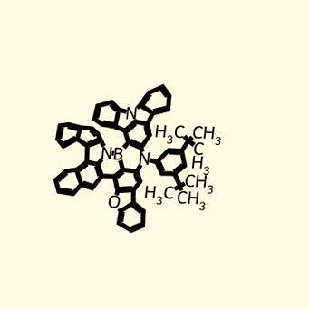 CC(C)(C)c1cc(N2c3cc4c(oc5ccccc54)c4c3B(c3c2cc2c5ccccc5n5c6ccccc6c3c25)n2c3ccc5ccccc5c3c3c5ccccc5cc-4c32)cc(C(C)(C)C)c1